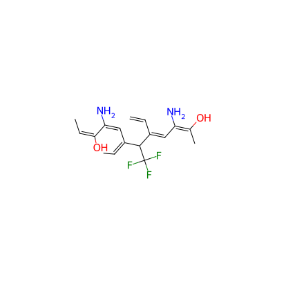 C=C/C(=C\C(N)=C(/C)O)C(C(/C=C(N)\C(O)=C/C)=C/C)C(F)(F)F